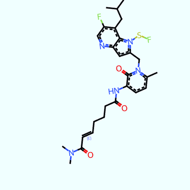 Cc1ccc(NC(=O)CCC/C=C/C(=O)N(C)C)c(=O)n1Cc1cc2ncc(F)c(CC(C)C)c2n1SF